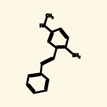 CNc1ccc(N)c(C=Cc2ccccc2)c1